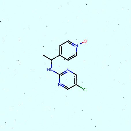 CC(Nc1ncc(Cl)cn1)c1cc[n+]([O-])cc1